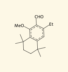 CCc1cc2c(c(OC)c1C=O)C(C)(C)CCC2(C)C